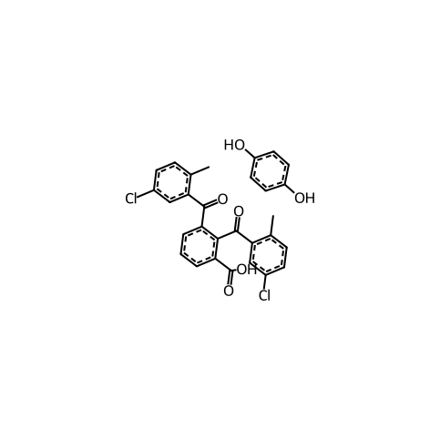 Cc1ccc(Cl)cc1C(=O)c1cccc(C(=O)O)c1C(=O)c1cc(Cl)ccc1C.Oc1ccc(O)cc1